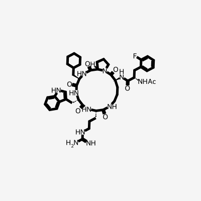 CC(=O)N[C@@H](Cc1ccccc1F)C(=O)N[C@H]1CCCNC(=O)[C@H](CCCNC(=N)N)NC(=O)[C@H](Cc2c[nH]c3ccccc23)NC(=O)[C@@H](CC2CCCCC2)NC(=O)[C@@H]2CCCN2C1=O